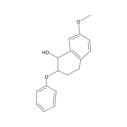 COc1ccc2c(c1)C(O)C(Oc1ccccc1)CC2